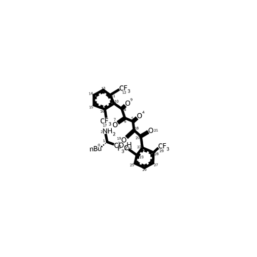 CCCC[C@H](N)C(=O)O.O=C(C(=O)C(=O)c1c(C(F)(F)F)cccc1C(F)(F)F)C(=O)C(=O)c1c(C(F)(F)F)cccc1C(F)(F)F